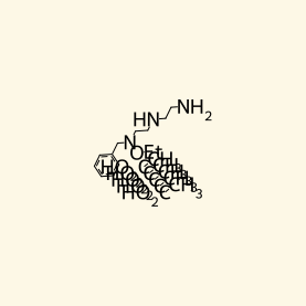 CC(=O)O.CC(=O)O.CC(=O)O.CC(=O)O.CC(=O)O.CCON(CCNCCN)Cc1ccccc1